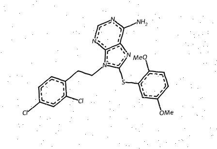 COc1ccc(OC)c(Sc2nc3c(N)ncnc3n2CCc2ccc(Cl)cc2Cl)c1